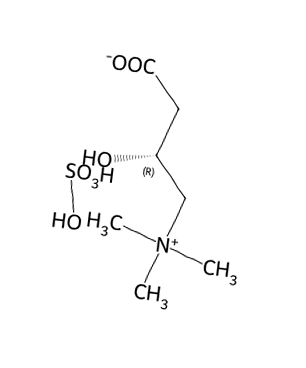 C[N+](C)(C)C[C@H](O)CC(=O)[O-].O=S(=O)(O)O